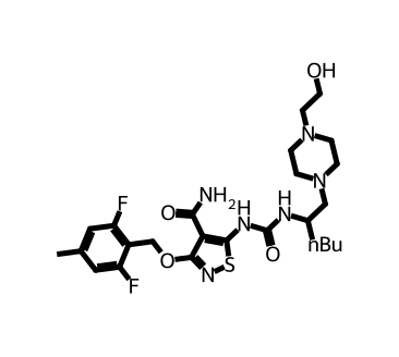 CCCCC(CN1CCN(CCO)CC1)NC(=O)Nc1snc(OCc2c(F)cc(C)cc2F)c1C(N)=O